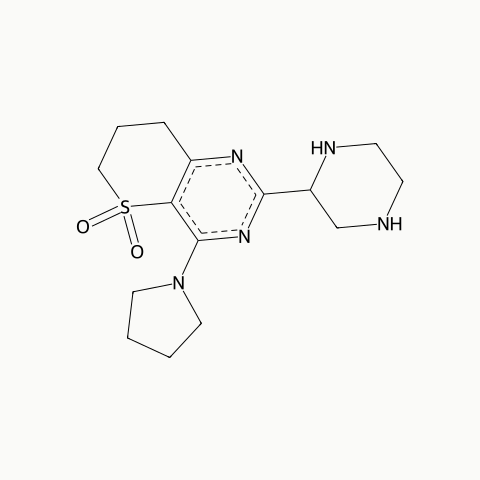 O=S1(=O)CCCc2nc(C3CNCCN3)nc(N3CCCC3)c21